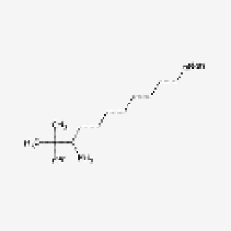 CCCCCCCCCCCCCCCCCC(P)C(C)(C)CCC